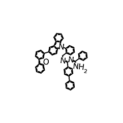 N/C(=N\C(=N/Cc1ccccc1-n1c2ccccc2c2cc(-c3cccc4c3oc3ccccc34)ccc21)c1ccc(-c2ccccc2)cc1)c1ccccc1